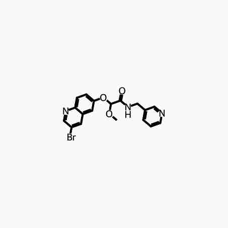 COC(Oc1ccc2ncc(Br)cc2c1)C(=O)NCc1cccnc1